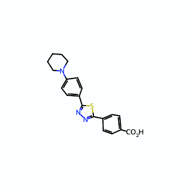 O=C(O)c1ccc(-c2nnc(-c3ccc(N4CCCCC4)cc3)s2)cc1